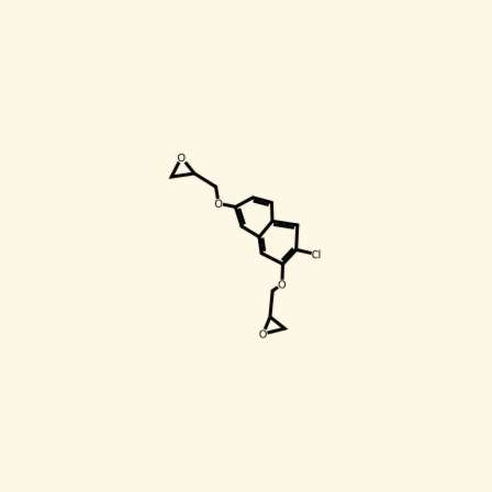 Clc1cc2ccc(OCC3CO3)cc2cc1OCC1CO1